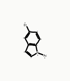 CCc1ccc2c(ccn2C(C)=O)c1